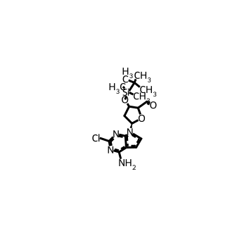 CC(C)(C)[Si](C)(C)OC1C[C@H](n2ccc3c(N)nc(Cl)nc32)OC1C=O